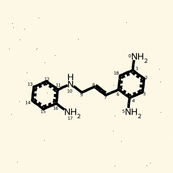 Nc1ccc(N)c(/C=C/CNc2ccccc2N)c1